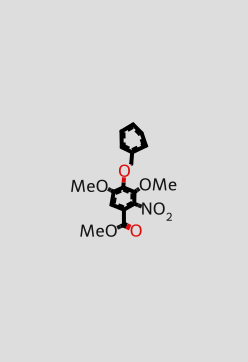 COC(=O)c1cc(OC)c(OCc2ccccc2)c(OC)c1[N+](=O)[O-]